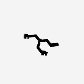 C=CCP(CC(C)C)CC(C)C